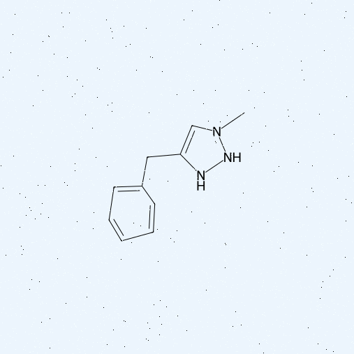 CN1C=C(Cc2ccccc2)NN1